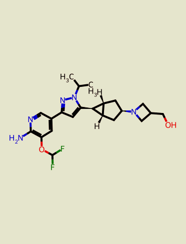 CC(C)n1nc(-c2cnc(N)c(OC(F)F)c2)cc1[C@H]1[C@@H]2C[C@@H](N3CC(CO)C3)C[C@@H]21